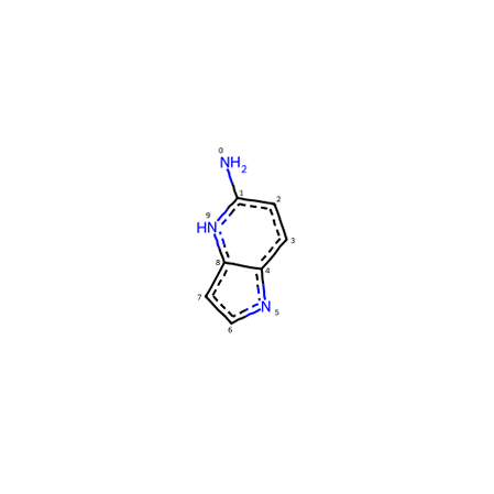 Nc1ccc2nccc-2[nH]1